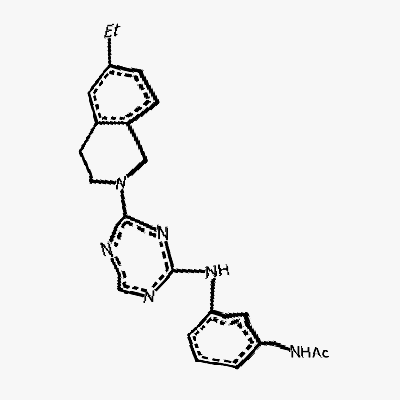 CCc1ccc2c(c1)CCN(c1ncnc(Nc3cccc(NC(C)=O)c3)n1)C2